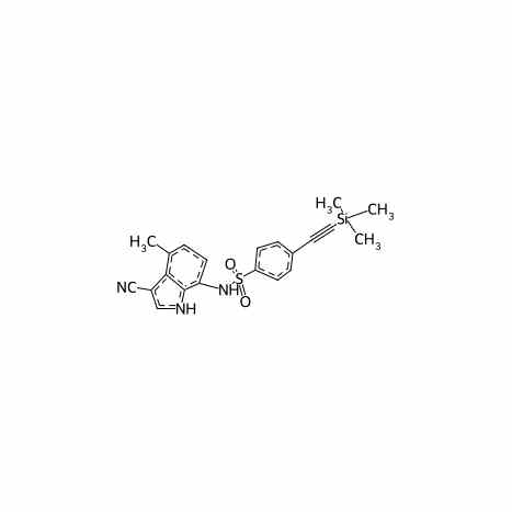 Cc1ccc(NS(=O)(=O)c2ccc(C#C[Si](C)(C)C)cc2)c2[nH]cc(C#N)c12